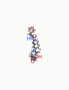 Cc1cc2cnc(NC(=O)[C@H]3CC34CCOCC4)cc2cc1N1CCN([C@]2(C)COC[C@@H]2O)C[C@@H]1C